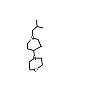 CC(C)CN1CCC(N2CCOCC2)CC1